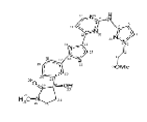 COCCn1ccc(Nc2nccc(-c3csc(-c4cccc([C@]5(O)CCN(C)C5=O)c4)n3)n2)n1